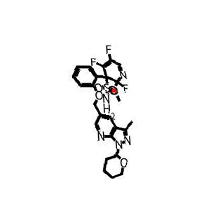 COC1(F)N=CC(F)=C(F)C1(c1ccccc1OCc1cnc2c(c1)c(C)nn2C1CCCCO1)S(N)(=O)=O